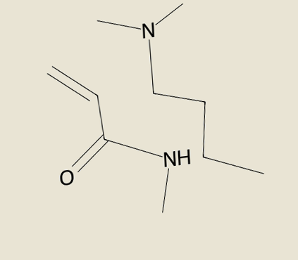 C=CC(=O)NC.CCCCN(C)C